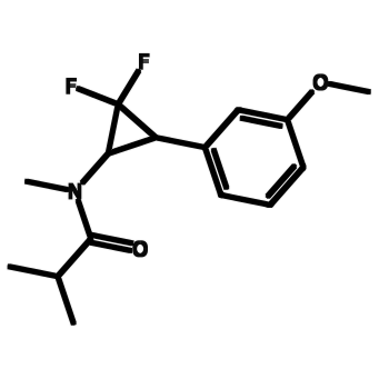 COc1cccc(C2C(N(C)C(=O)C(C)C)C2(F)F)c1